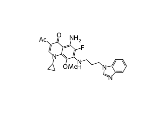 COc1c(NCCCn2cnc3ccccc32)c(F)c(N)c2c(=O)c(C(C)=O)cn(C3CC3)c12